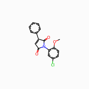 COc1ccc(Cl)cc1N1C(=O)C=C(c2ccccc2)C1=O